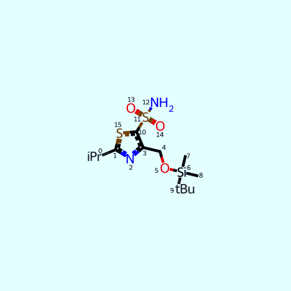 CC(C)c1nc(CO[Si](C)(C)C(C)(C)C)c(S(N)(=O)=O)s1